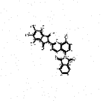 O=C1c2c(Cl)c(Cl)c(Cl)c(Cl)c2C(=O)C1c1ccc2c(N3C(=O)c4ccccc4C3=O)ccc(Cl)c2n1